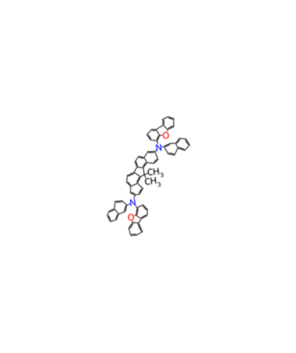 CC1(C)c2c(ccc3cc(N(c4ccc5ccccc5c4)c4cccc5c4oc4ccccc45)ccc23)-c2ccc3cc(N(c4ccc5ccccc5c4)c4cccc5c4oc4ccccc45)ccc3c21